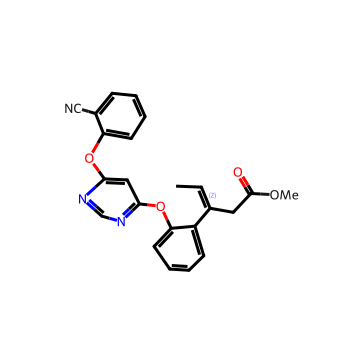 C/C=C(/CC(=O)OC)c1ccccc1Oc1cc(Oc2ccccc2C#N)ncn1